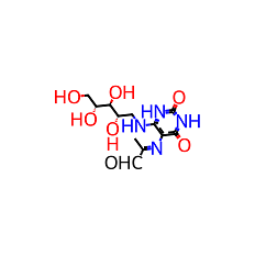 C/C(C=O)=N\c1c(NC[C@H](O)[C@H](O)[C@H](O)CO)[nH]c(=O)[nH]c1=O